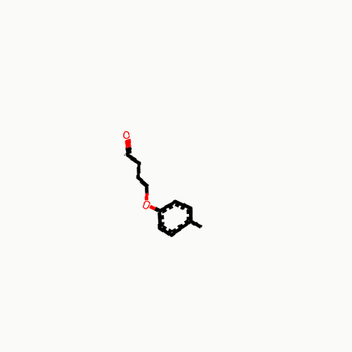 Cc1ccc(OCCC[C]=O)cc1